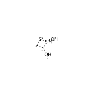 OC1CS[SiH]1O